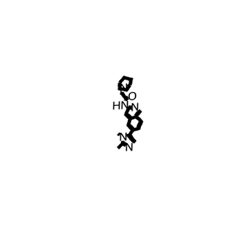 Cc1ncc(-c2ccc3cnc(NC(=O)CN4C5CCC4CC5)cc3c2)n1C